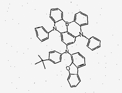 CC(C)(C)c1ccc(N(c2cc3c4c(c2)N(c2ccccc2)c2ccccc2B4c2ccccc2N3c2ccccc2)c2cccc3c2oc2ccccc23)cc1